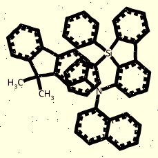 CC1(C)c2ccccc2-c2ccc(N(c3cccc4c3[Si](c3ccccc3)(c3ccccc3)c3ccccc3-4)c3cccc4ccccc34)cc21